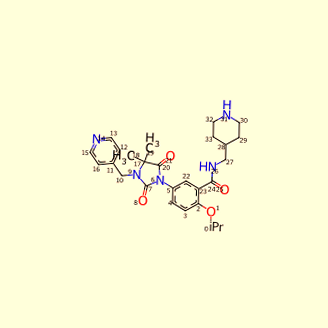 CC(C)Oc1ccc(N2C(=O)N(Cc3ccncc3)C(C)(C)C2=O)cc1C(=O)NCC1CCNCC1